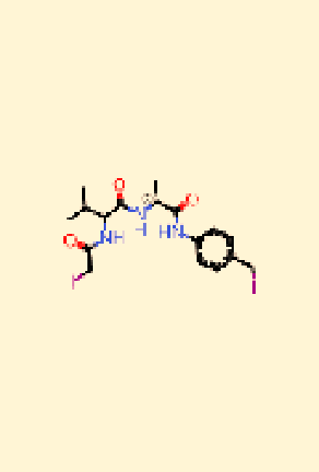 CC(C)C(NC(=O)CI)C(=O)N[C@@H](C)C(=O)Nc1ccc(CI)cc1